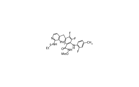 CCSNc1nccc(Cc2cc(C(=O)NOC)c(Nc3ccc(C)cc3F)c(F)c2F)c1P